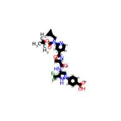 CC(C)(C)OC(=O)N(CC1CC1)c1cc(-c2nc(C(=O)NC3=CN(c4ccc(C(=O)O)cc4)NC3C(F)F)co2)ccn1